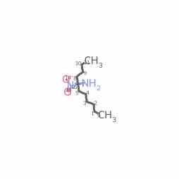 CCCCCCC(N)(CCCC)[N+](=O)[O-]